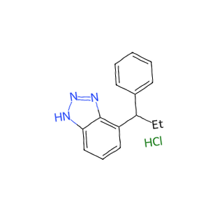 CCC(c1ccccc1)c1cccc2[nH]nnc12.Cl